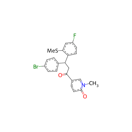 CSc1cc(F)ccc1C(CC(=O)c1ccc(=O)n(C)c1)c1ccc(Br)cc1